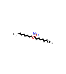 CCCCCCCCOC(=O)CCCCCCC.N